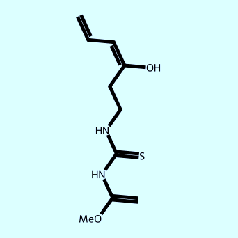 C=C/C=C(/O)CCNC(=S)NC(=C)OC